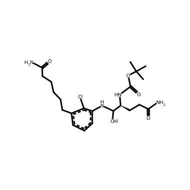 CC(C)(C)OC(=O)N[C@@H](CCC(N)=O)C(O)Nc1cccc(CCCCCC(N)=O)c1Cl